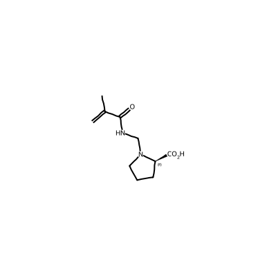 C=C(C)C(=O)NCN1CCC[C@@H]1C(=O)O